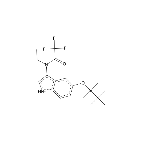 CCN(C(=O)C(F)(F)F)c1c[nH]c2ccc(O[Si](C)(C)C(C)(C)C)cc12